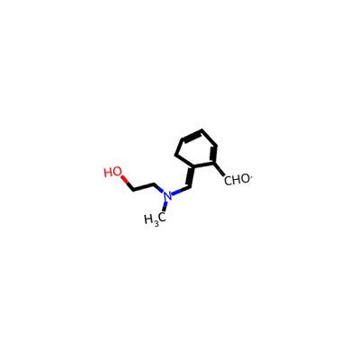 CN(C=C1CC=CC=C1[C]=O)CCO